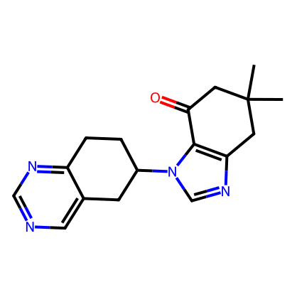 CC1(C)CC(=O)c2c(ncn2C2CCc3ncncc3C2)C1